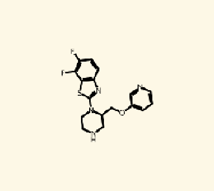 Fc1ccc2nc(N3CCNCC3COc3cccnc3)sc2c1F